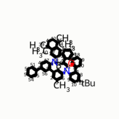 Cc1cc2c3c(c1)N(c1ccc(C(C)(C)C)cc1-c1ccccc1)c1oc4ccccc4c1B3N(c1ccc3c(c1)C(C)(C)CCC3(C)C)c1ccc(-c3ccccc3)cc1-2